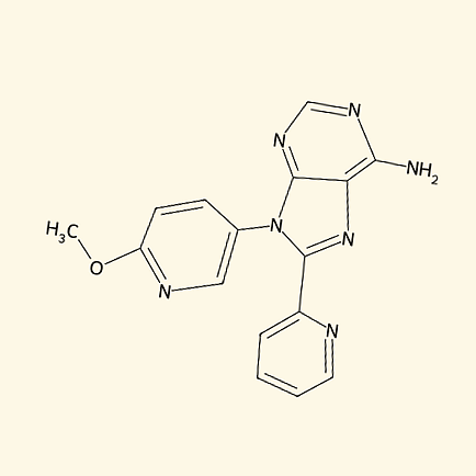 COc1ccc(-n2c(-c3ccccn3)nc3c(N)ncnc32)cn1